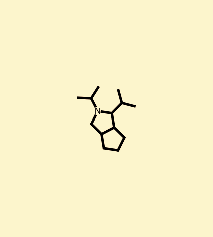 CC(C)C1C2CCCC2CN1C(C)C